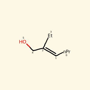 CCC/C=C(\CC)CO